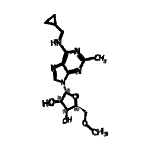 COC[C@H]1O[C@@H](n2cnc3c(NCC4CC4)nc(C)nc32)[C@H](O)[C@@H]1O